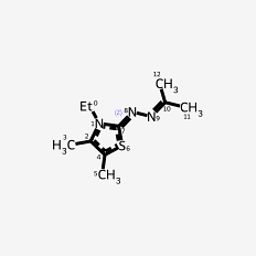 CCn1c(C)c(C)s/c1=N\N=C(C)C